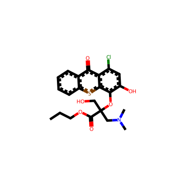 CCCOC(=O)C(CO)(CN(C)C)Oc1c(O)cc(Cl)c2c(=O)c3ccccc3sc12